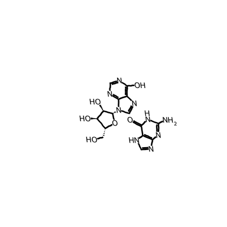 Nc1nc2nc[nH]c2c(=O)[nH]1.OC[C@H]1O[C@@H](n2cnc3c(O)ncnc32)[C@H](O)[C@@H]1O